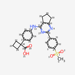 CS(=O)(=O)c1ccc(-c2nc3c(c(Nc4ccc(C5(C(=O)O)CCC5)cc4)n2)CCC3)cc1